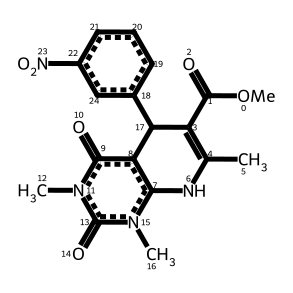 COC(=O)C1=C(C)Nc2c(c(=O)n(C)c(=O)n2C)C1c1cccc([N+](=O)[O-])c1